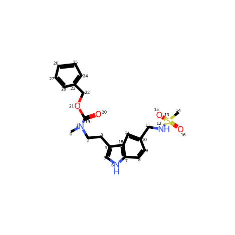 CN(CCc1c[nH]c2ccc(CNS(C)(=O)=O)cc12)C(=O)OCc1ccccc1